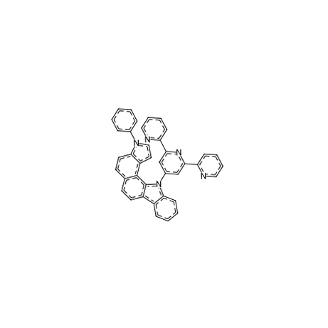 c1ccc(-n2ccc3c4c(ccc5c6ccccc6n(-c6cc(-c7ccccn7)nc(-c7ccccn7)c6)c54)ccc32)cc1